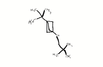 CC(C)(C)CSC12CC(C(C)(C)C)(C1)C2